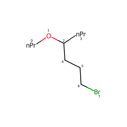 CCCOC(CCC)CCCBr